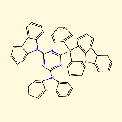 c1ccc([Si](c2ccccc2)(c2nc(-n3c4ccccc4c4ccccc43)nc(-n3c4ccccc4c4ccccc43)n2)c2cccc3c2sc2ccccc23)cc1